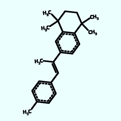 CC(=Cc1ccc(C)cc1)c1ccc2c(c1)C(C)(C)CCC2(C)C